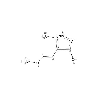 COCCc1c(O)n[nH]c1C